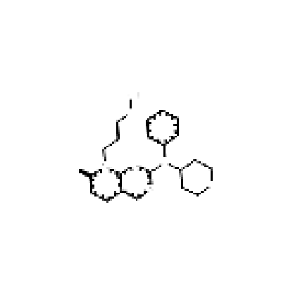 COCCCn1c(=O)ccc2cnc(N(c3ccccc3)C3CCNCC3)nc21